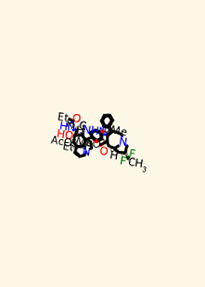 CCC(=O)NCC1(O)[C@H](OC(C)=O)[C@]2(CC)C=CCN3CC[C@@]4(c5cc([C@@]6(C(=O)OC)C[C@@H]7C[C@@H](C(C)(F)F)CN(CCc8c6[nH]c6ccccc86)C7)c(OC)cc5N(C)[C@@H]14)[C@@H]32